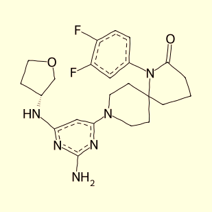 Nc1nc(N[C@@H]2CCOC2)cc(N2CCC3(CCCC(=O)N3c3ccc(F)c(F)c3)CC2)n1